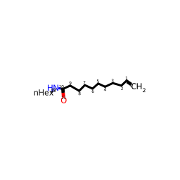 C=CCCCCCCCCC(=O)NCCCCCC